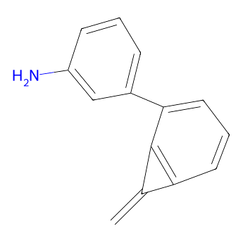 C=C1c2cccc(-c3cccc(N)c3)c21